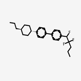 CCCC(F)(F)C(F)c1ccc(-c2ccc([C@H]3CC[C@H](CCC)CC3)cc2)cc1